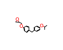 CC(C)Oc1ccc(Cc2ccc(OCC3CO3)cc2)cc1